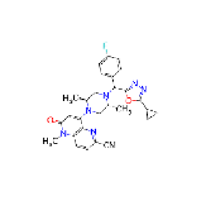 C[C@@H]1CN(c2cc(=O)n(C)c3ccc(C#N)nc23)[C@@H](C)CN1C(c1ccc(F)cc1)c1nnc(C2CC2)o1